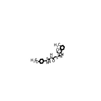 CCn1c(SCC(=O)Nc2nnc(-c3ccc(OC)cc3)s2)nnc1-c1cccc(C)c1